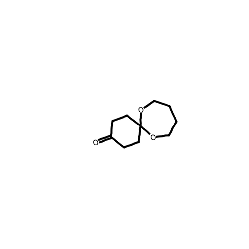 O=C1CCC2(CC1)OCCCCO2